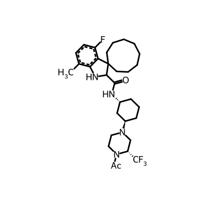 CC(=O)N1CCN([C@@H]2CCC[C@@H](NC(=O)C3Nc4c(C)ccc(F)c4C34CCCCCCCC4)C2)C[C@@H]1C(F)(F)F